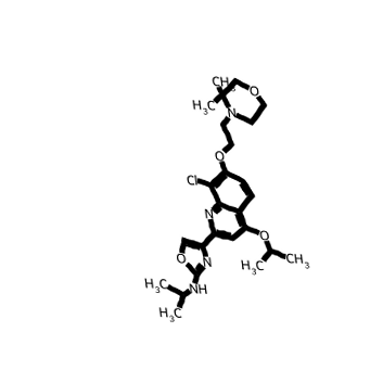 CC(C)Nc1nc(-c2cc(OC(C)C)c3ccc(OCCN4CCOCC4(C)C)c(Cl)c3n2)co1